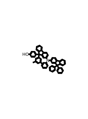 Cc1cc(C)cc(C2(c3ccc(O)cc3)c3ccccc3-c3ccc(N(c4ccccc4)c4ccc5c(c4)C(c4ccccc4)(c4ccccc4)c4ccccc4-5)cc32)c1